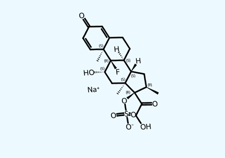 C[C@@H]1C[C@H]2[C@@H]3CCC4=CC(=O)C=C[C@]4(C)[C@@]3(F)[C@@H](O)C[C@]2(C)[C@@]1(OS(=O)(=O)[O-])C(=O)CO.[Na+]